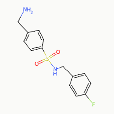 NCc1ccc(S(=O)(=O)NCc2ccc(F)cc2)cc1